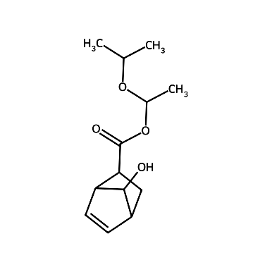 CC(C)OC(C)OC(=O)C1CC2C=CC1C2O